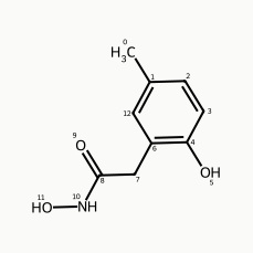 Cc1ccc(O)c(CC(=O)NO)c1